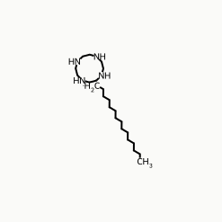 C1CNCCNCCNCCN1.[CH2]CCCCCCCCCCCCCC